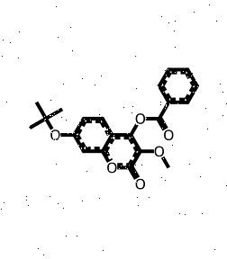 COc1c(OC(=O)c2ccccc2)c2ccc(OC(C)(C)C)cc2oc1=O